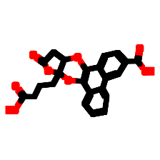 O=C(O)CCCC12OC(=O)CC1Oc1c(c3ccccc3c3cc(C(=O)O)ccc13)O2